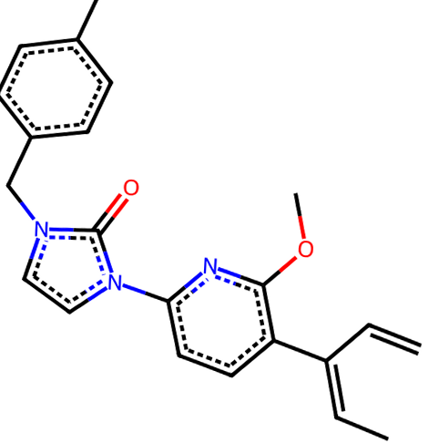 C=C/C(=C\C)c1ccc(-n2ccn(Cc3ccc(C)cc3)c2=O)nc1OC